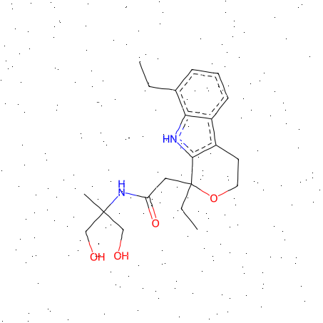 CCc1cccc2c3c([nH]c12)C(CC)(CC(=O)NC(C)(CO)CO)OCC3